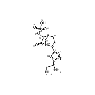 NCC(N)c1nnc(C2CCC3CN2C(=O)N3OS(=O)(=O)O)o1